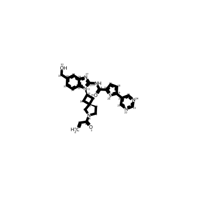 C=CC(=O)N1CC[C@]2(C1)C[C@H](n1c(NC(=O)c3ccc(-c4cncnc4)s3)nc3cc(CO)ccc31)C2